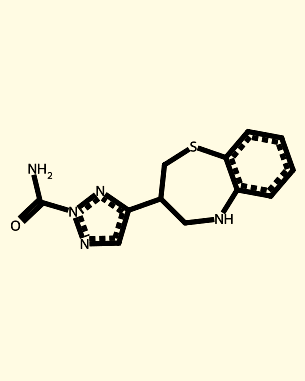 NC(=O)n1ncc(C2CNc3ccccc3SC2)n1